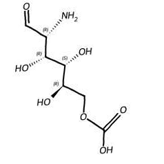 N[C@@H](C=O)[C@@H](O)[C@H](O)[C@H](O)COC(=O)O